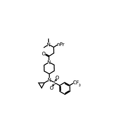 CCCC(CC(=O)N1CCC(N(C2CC2)S(=O)(=O)c2cccc(C(F)(F)F)c2)CC1)N(C)C